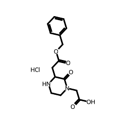 Cl.O=C(O)CN1CCNC(CC(=O)OCc2ccccc2)C1=O